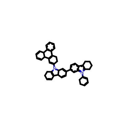 C1=CCCC(n2c3c(c4ccc(C5=CC6C(C=C5)C5=C(CCC=C5)N6C5=CC6=C(CC5)c5ccccc5C5C=CC=CC65)cc42)CCCC3)=C1